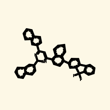 FC1(F)c2ccccc2-c2ccc(-c3ccc(C4=CC(c5ccc6ccccc6c5)=NC(c5ccc6ccccc6c5)N4)c4ccccc34)cc21